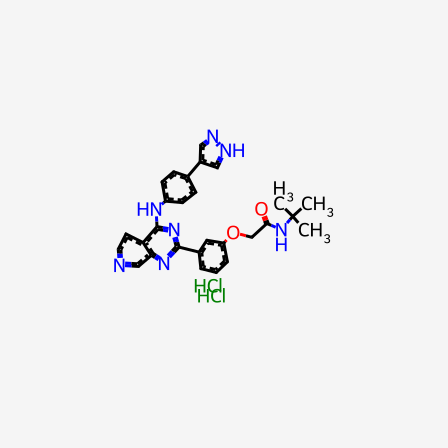 CC(C)(C)NC(=O)COc1cccc(-c2nc(Nc3ccc(-c4cn[nH]c4)cc3)c3ccncc3n2)c1.Cl.Cl